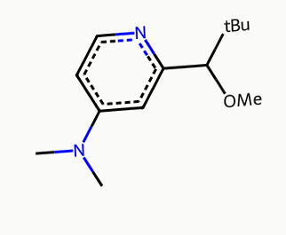 COC(c1cc(N(C)C)ccn1)C(C)(C)C